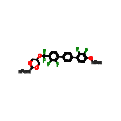 CCCCCCCCCCOc1ccc(-c2ccc(-c3ccc(C(F)(F)OC4COC(CCCCC)OC4)c(F)c3F)cc2)c(F)c1F